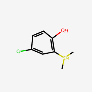 C[SH](C)c1cc(Cl)ccc1O